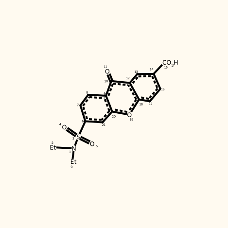 CCN(CC)S(=O)(=O)c1ccc2c(=O)c3cc(C(=O)O)ccc3oc2c1